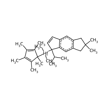 CC1=C(C)[C](C)([Hf]([CH3])([CH3])[C]2(C(C)C)C=Cc3cc4c(cc32)CC(C)(C)C4)C(C)=C1C